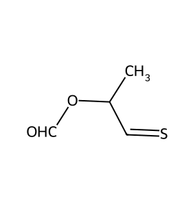 CC(C=S)OC=O